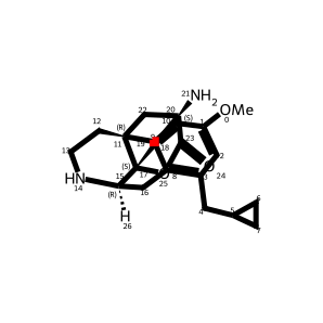 COc1cc(CC2CC2)c2c(c1)[C@]13CCN[C@H](C2)[C@]12CC[C@](N)(C3)C(=O)O2